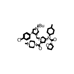 CC1CCC(N(C(=O)[C@@H]2CCCO2)[C@H]2C[C@@H](C(=O)N3CCN(C)CC3)N(C[C@@H]3CN(C(C)(C)C)C[C@H]3c3ccc(Cl)cc3)C2)CC1